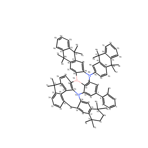 Cc1ccccc1-c1cc2c3c(c1)N1c4cc5c(cc4Cc4cccc6c4-c4c(ccc(c41)B3c1cc3c(cc1N2c1ccc2c(c1)C(C)(C)c1ccccc1C2(C)C)C(C)(C)c1ccccc1C3(C)C)C6(C)C)C(C)(C)CCC5(C)C